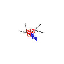 CCCCCCCCCCC(CCCCCCCC)COC(=O)CCN(CCC(O)OCC(CCCCCCCC)CCCCCCCCCC)CCN1CCN(C)CC1